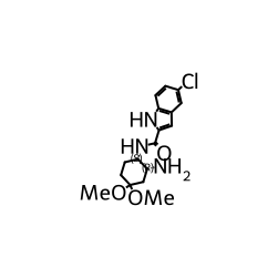 COC1(OC)CC[C@H](NC(=O)c2cc3cc(Cl)ccc3[nH]2)[C@H](N)C1